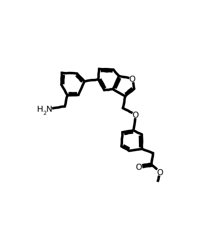 COC(=O)Cc1cccc(OCc2coc3ccc(-c4cccc(CN)c4)cc23)c1